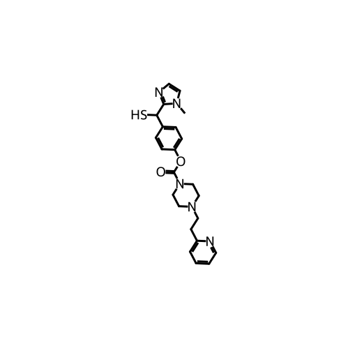 Cn1ccnc1C(S)c1ccc(OC(=O)N2CCN(CCc3ccccn3)CC2)cc1